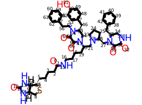 O=C(CCCC[C@@H]1SC[C@@H]2NC(=O)N[C@@H]21)NCCCCC(CN1CCC[C@H]1CN1C(=O)C(=O)NC[C@@H]1Cc1ccccc1)N1C[C@H](Cc2ccc(O)cc2)N(CCc2ccccc2)C(=O)C1=O